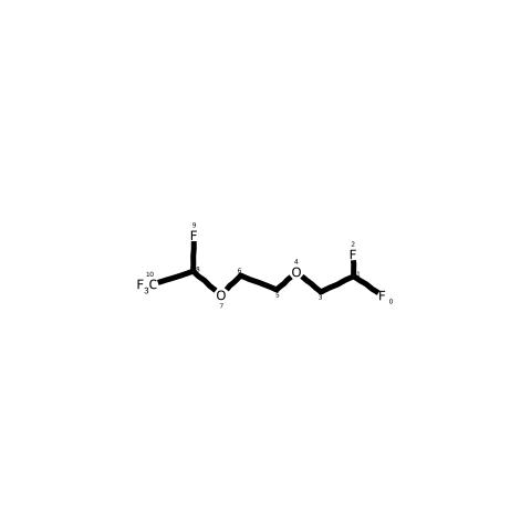 FC(F)COCCOC(F)C(F)(F)F